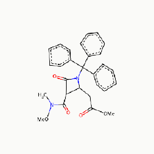 COC(=O)CC1C(C(=O)N(C)OC)C(=O)N1C(c1ccccc1)(c1ccccc1)c1ccccc1